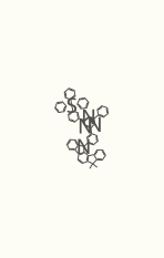 CC1(C)c2ccccc2-c2c1ccc1c3ccccc3n(-c3cccc(-c4nc(-c5ccccc5)nc(-c5cccc(S(c6ccccc6)(c6ccccc6)c6ccccc6)c5)n4)c3)c21